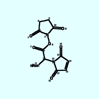 CCCCCCCCCC(C(=O)ON1C(=O)CCC1=O)N1C(=O)C=CC1=O